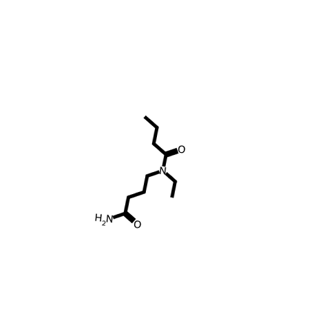 CCCC(=O)N(CC)CCCC(N)=O